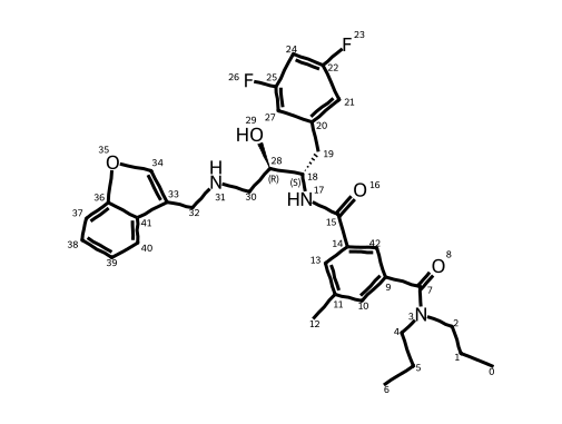 CCCN(CCC)C(=O)c1cc(C)cc(C(=O)N[C@@H](Cc2cc(F)cc(F)c2)[C@H](O)CNCc2coc3ccccc23)c1